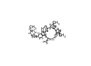 CCN1CCC(Nc2ccc3c(c2)N/C2=N\C(=O)c4cc(C)nc(c4)-c4cnn(C)c4OCCCC(C4CC4)CN23)CC1